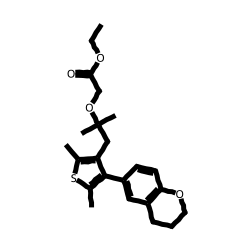 CCOC(=O)COC(C)(C)Cc1c(C)sc(C)c1-c1ccc2c(c1)CCCO2